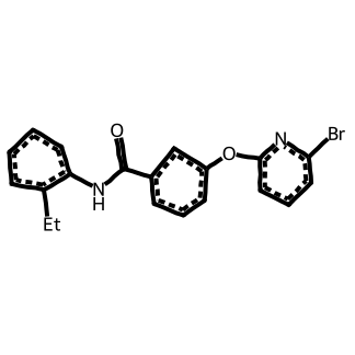 CCc1ccccc1NC(=O)c1cccc(Oc2cccc(Br)n2)c1